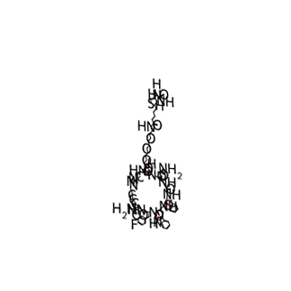 C[C@H]1NC(=O)[C@@H](CC(N)=O)NC(=O)[C@@H](NC(=O)COCCOCCOCCNC(=O)CCCCC2SC[C@H]3NC(=O)N[C@@H]23)Cc2cn(nn2)CCCC[C@@H](C(N)=O)NC(=O)[C@H](Cc2ccc(F)cc2)NC(=O)[C@H](Cc2cn(C)c3ccccc23)NC(=O)[C@@H](Cc2ccccc2)NC1=O